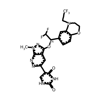 Cn1nc(O[C@H](c2ccc3c(c2)N(CC(F)(F)F)CCO3)C(F)F)c2cc(-c3c[nH]c(=O)[nH]c3=O)nnc21